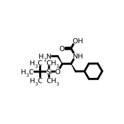 CC(C)(C)[Si](C)(C)O[C@@H](CN)[C@H](CC1CCCCC1)NC(=O)O